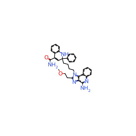 COCCc1nc2c(N)nc3ccccc3c2n1CCCCC1(c2ccccc2)C=C(C(N)=O)c2ccccc2N1